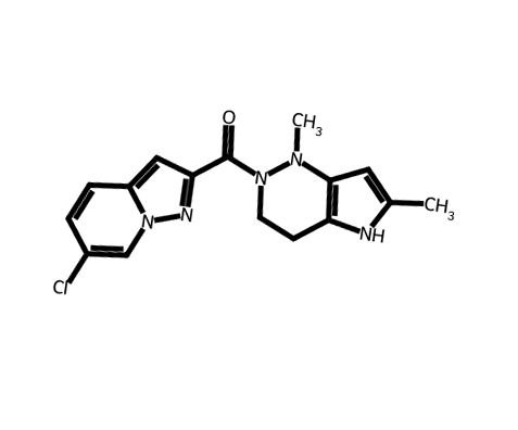 Cc1cc2c([nH]1)CCN(C(=O)c1cc3ccc(Cl)cn3n1)N2C